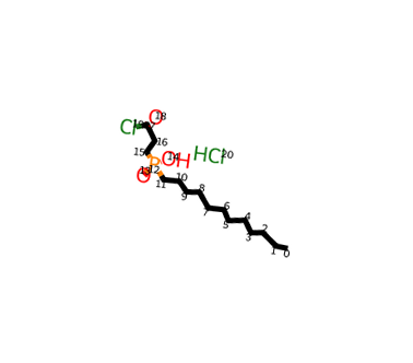 CCCCCCCCCCCCP(=O)(O)CCC(=O)Cl.Cl